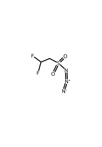 [N-]=[N+]=NS(=O)(=O)CC(F)F